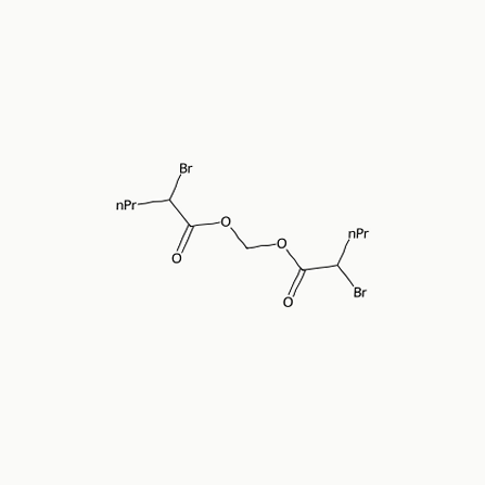 CCCC(Br)C(=O)OCOC(=O)C(Br)CCC